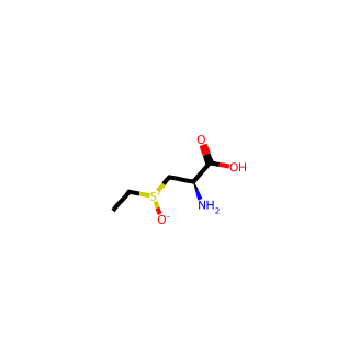 CC[S+]([O-])C[C@H](N)C(=O)O